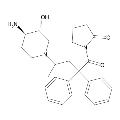 CC(CC(C(=O)N1CCCC1=O)(c1ccccc1)c1ccccc1)N1CC[C@@H](N)[C@H](O)C1